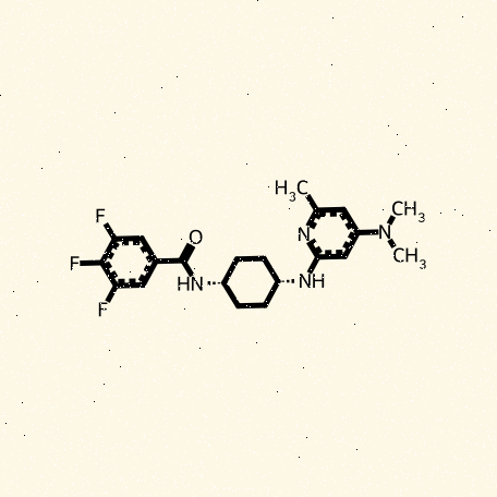 Cc1cc(N(C)C)cc(N[C@H]2CC[C@@H](NC(=O)c3cc(F)c(F)c(F)c3)CC2)n1